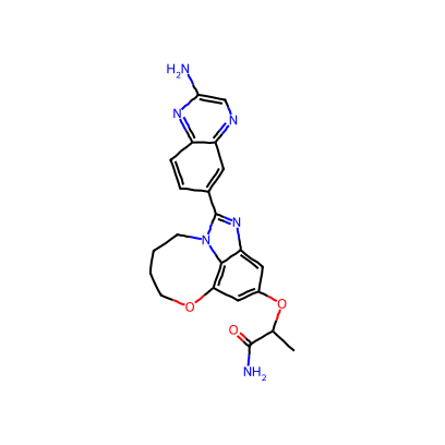 CC(Oc1cc2c3c(c1)nc(-c1ccc4nc(N)cnc4c1)n3CCCCO2)C(N)=O